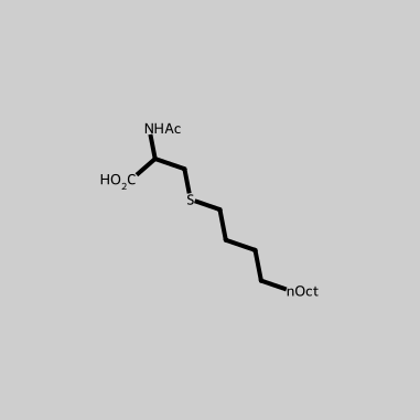 CCCCCCCCCCCCSCC(NC(C)=O)C(=O)O